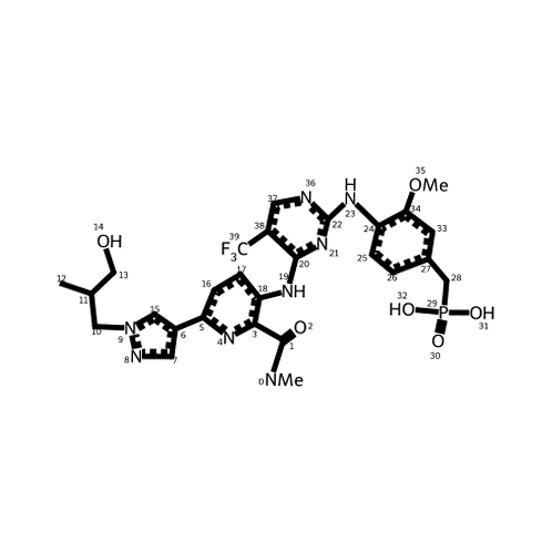 CNC(=O)c1nc(-c2cnn(CC(C)CO)c2)ccc1Nc1nc(Nc2ccc(CP(=O)(O)O)cc2OC)ncc1C(F)(F)F